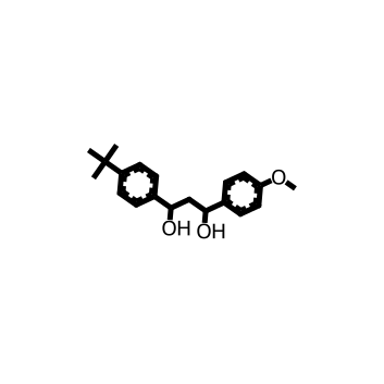 COc1ccc(C(O)CC(O)c2ccc(C(C)(C)C)cc2)cc1